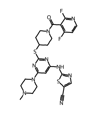 CN1CCN(c2cc(Nc3ncc(C#N)s3)nc(SC3CCN(C(=O)c4c(F)ccnc4F)CC3)n2)CC1